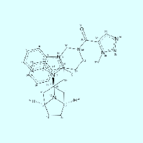 Cc1nc2ccccc2n1[C@H]1C[C@H]2CC[C@@H](C1)N2CCC1(c2ccccc2)CCN(C(=O)c2cnnn2C)CC1